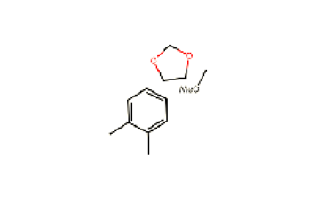 C1COCO1.COC.Cc1ccccc1C